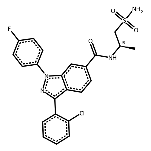 C[C@H](CS(N)(=O)=O)NC(=O)c1ccc2c(-c3ccccc3Cl)nn(-c3ccc(F)cc3)c2c1